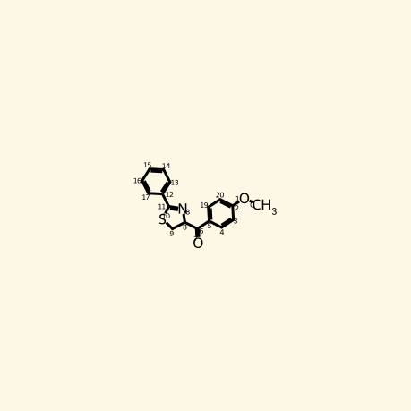 COc1ccc(C(=O)C2CSC(c3ccccc3)=N2)cc1